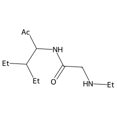 CCNCC(=O)NC(C(C)=O)C(CC)CC